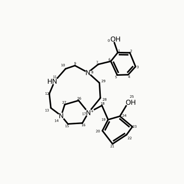 Oc1ccccc1CN1CCNCCN2CC[N+](Cc3ccccc3O)(CC2)CC1